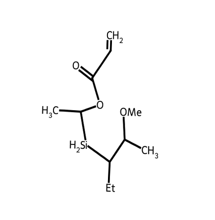 C=CC(=O)OC(C)[SiH2]C(CC)C(C)OC